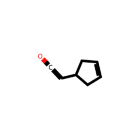 O=C=CC1CC=CC1